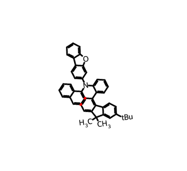 CC(C)(C)c1ccc2c(c1)C(C)(C)c1cccc(-c3ccccc3N(c3ccc4c(c3)oc3ccccc34)c3cccc4ccccc34)c1-2